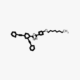 CCCCCCCCOc1ccc(-c2nnc(-c3ccc(C#Cc4ccccc4)cc3C#Cc3ccccc3)o2)cc1